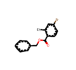 CCc1cc(Br)ccc1C(=O)OCc1ccccc1